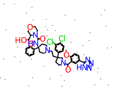 COc1ccc(-c2nnn[nH]2)cc1C(=O)N1CCC(CCN2CCC(NC(=O)N3CCOCC3C(=O)O)(c3ccccc3)CC2)(c2ccc(Cl)c(Cl)c2)C1